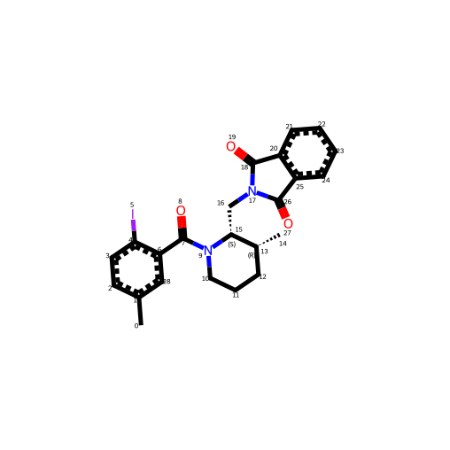 Cc1ccc(I)c(C(=O)N2CCC[C@@H](C)[C@H]2CN2C(=O)c3ccccc3C2=O)c1